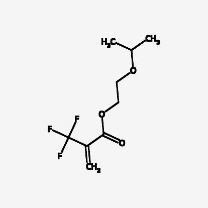 C=C(C(=O)OCCOC(C)C)C(F)(F)F